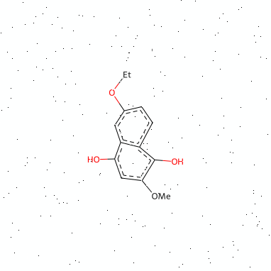 CCOc1ccc2c(O)c(OC)cc(O)c2c1